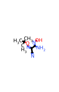 CC(C)(C)ON=C(C#N)C(N)=NO